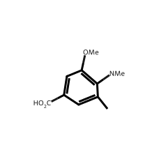 CNc1c(C)cc(C(=O)O)cc1OC